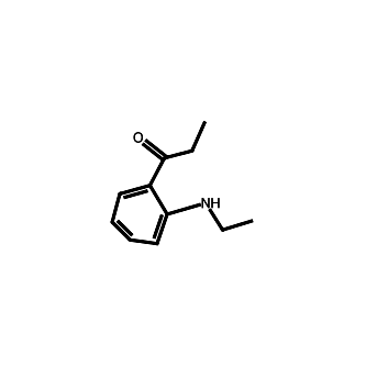 CCNc1ccccc1C(=O)CC